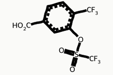 O=C(O)c1ccc(C(F)(F)F)c(OS(=O)(=O)C(F)(F)F)c1